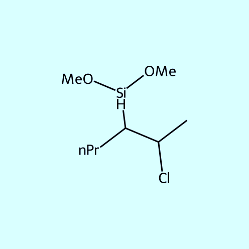 CCCC(C(C)Cl)[SiH](OC)OC